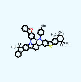 CC(C)(C)c1ccc(N2B3c4cc5oc6ccccc6c5cc4-n4c5cc6c(cc5c5ccc(c3c54)-c3cc4sc5cc7c(cc5c4cc32)C(C)(C)CCC7(C)C)-c2ccccc2C6(C)C)cc1